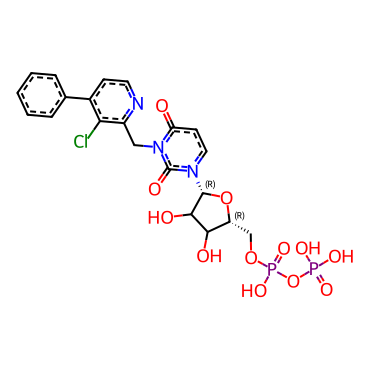 O=c1ccn([C@@H]2O[C@H](COP(=O)(O)OP(=O)(O)O)C(O)C2O)c(=O)n1Cc1nccc(-c2ccccc2)c1Cl